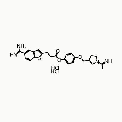 CC(=N)N1CCC(COc2ccc(OC(=O)CCc3cc4cc(C(=N)N)ccc4s3)cc2)C1.Cl.Cl